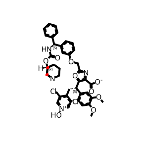 COc1ccc([C@H](Cc2c(Cl)c[n+](O)cc2Cl)c2oc(COc3cccc([C@@H](NC(=O)O[C@H]4CN5CCC4CC5)c4ccccc4)c3)nc2C(=O)[O-])cc1OC